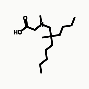 CCCCCC(C)(CCCC)CN(C)CC(=O)O